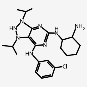 CC(C)N1NN(C(C)C)c2c(Nc3cccc(Cl)c3)nc(NC3CCCCC3N)nc21